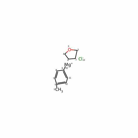 C1CCOC1.Cc1cc[c]([Mg+])cc1.[Cl-]